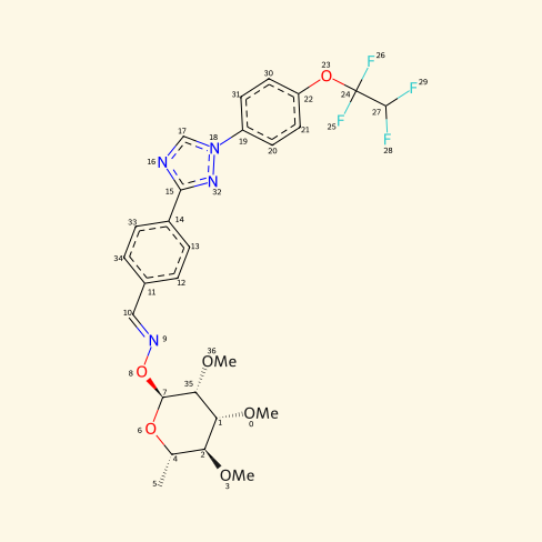 CO[C@@H]1[C@@H](OC)[C@H](C)O[C@@H](O/N=C/c2ccc(-c3ncn(-c4ccc(OC(F)(F)C(F)F)cc4)n3)cc2)[C@@H]1OC